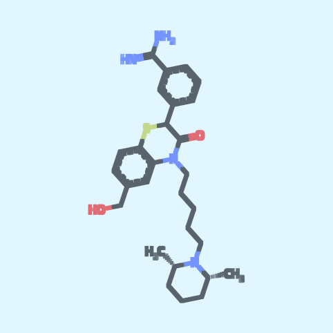 C[C@@H]1CCC[C@H](C)N1CCCCCN1C(=O)C(c2cccc(C(=N)N)c2)Sc2ccc(CO)cc21